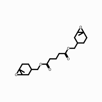 CC12CCC(COC(=O)CCCC(=O)OCC3CCC4(C)OC4C3)CC1O2